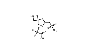 NS(=O)(=O)CC1CC2(CNC2)CO1.O=C(O)C(F)(F)F